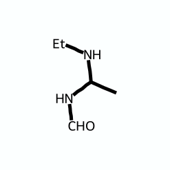 CCNC(C)NC=O